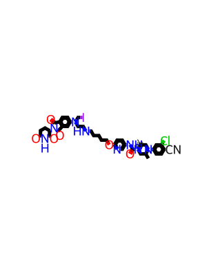 CC1CN(C(=O)Nc2ccc(OCCCCCNCCN(CI)c3ccc4c(c3)C(=O)N(C3CCC(=O)NC3=O)C4=O)nc2)[C@H](C)CN1c1ccc(C#N)c(Cl)c1